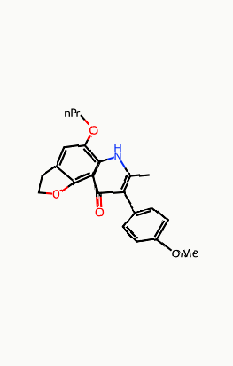 CCCOc1cc2c(c3c(=O)c(-c4ccc(OC)cc4)c(C)[nH]c13)OCC2